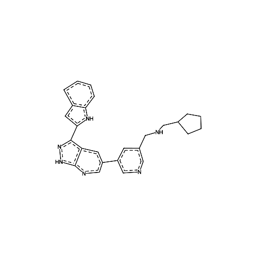 c1ccc2[nH]c(-c3n[nH]c4ncc(-c5cncc(CNCC6CCCC6)c5)cc34)cc2c1